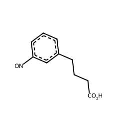 O=Nc1cccc(CCCC(=O)O)c1